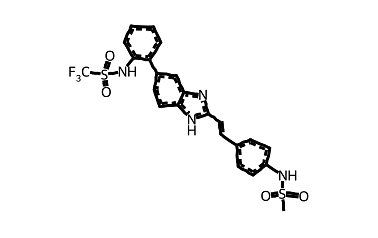 CS(=O)(=O)Nc1ccc(C=Cc2nc3cc(-c4ccccc4NS(=O)(=O)C(F)(F)F)ccc3[nH]2)cc1